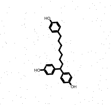 Oc1ccc(CCCCCCCC(c2ccc(O)cc2)c2ccc(O)cc2)cc1